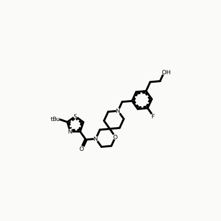 CC(C)(C)c1nc(C(=O)N2CCOC3(CCN(Cc4cc(F)cc(CCO)c4)CC3)C2)cs1